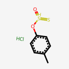 Cc1ccc(O[SH](=O)=S)cc1.Cl